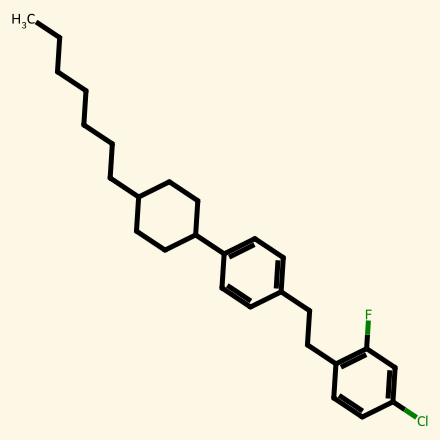 CCCCCCCC1CCC(c2ccc(CCc3ccc(Cl)cc3F)cc2)CC1